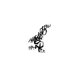 CCCN1c2cc(NS(=O)(=O)C(F)(F)F)c(N=Nc3nnc(C(=O)OC(C)(C)C)s3)cc2CCC1CC